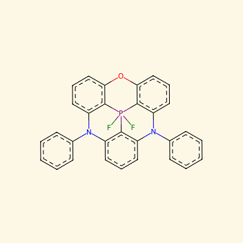 FP12(F)c3c4cccc3N(c3ccccc3)c3cccc(c31)N(c1ccccc1)c1cccc(c12)O4